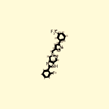 Fc1ccccc1-c1nc2c([nH]1)C=NN(Cc1cc(-c3cccc(C(F)(F)F)c3)no1)C2